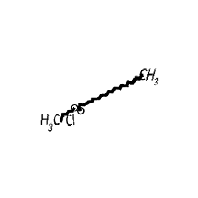 CCCCCCCCCCCCCCCCCCCC(=O)OCCC(Cl)CCC